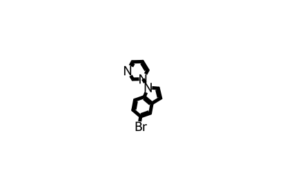 Brc1ccc2c(ccn2N2C=CC=NC2)c1